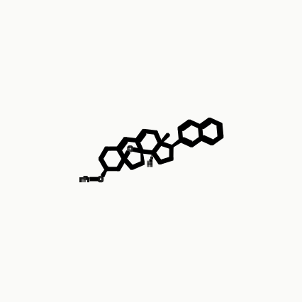 CCCO[C@H]1CCC2=CC3=CC[C@]4(C)[C@@H](c5ccc6ccccc6c5)CC[C@H]4[C@@]34CCC2(C1)O4